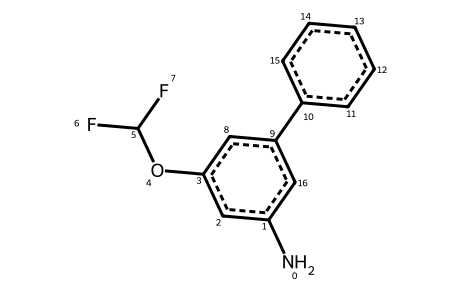 Nc1cc(OC(F)F)cc(-c2ccccc2)c1